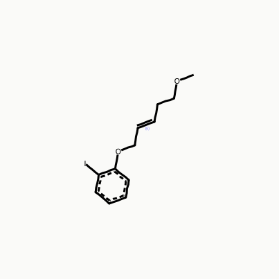 COCC/C=C/COc1ccccc1I